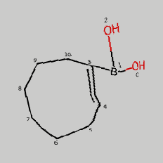 OB(O)/C1=C/CCCCCC1